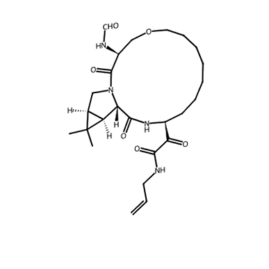 C=CCNC(=O)C(=O)[C@@H]1CCCCCCCOC[C@H](NC=O)C(=O)N2C[C@H]3[C@@H]([C@H]2C(=O)N1)C3(C)C